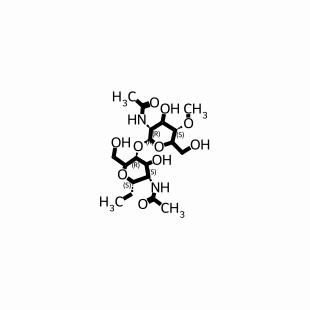 CC[C@@H]1OC(CO)[C@H](O[C@H]2OC(CO)[C@@H](OC)C(O)[C@H]2NC(C)=O)C(O)[C@@H]1NC(C)=O